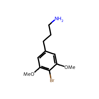 COc1cc(CCCN)cc(OC)c1Br